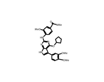 CNC(=O)c1ccc(Nc2nc(OC3CCCC3)c3c(-c4ccc(OC)c(OC)c4)c[nH]c3n2)c(OC)c1